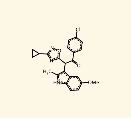 COc1ccc2[nH]c(C)c(C(C(=O)c3ccc(Cl)cc3)c3nc(C4CC4)no3)c2c1